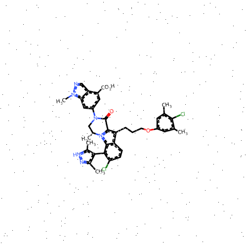 Cc1cc(OCCCc2c3n(c4c(-c5c(C)n[nH]c5C)c(Cl)ccc24)[C@H](C)CN(c2cc(C(=O)O)c4cnn(C)c4c2)C3=O)cc(C)c1Cl